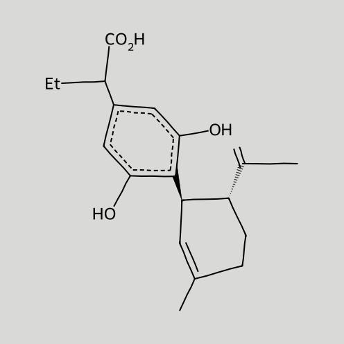 C=C(C)[C@@H]1CCC(C)=C[C@H]1c1c(O)cc(C(CC)C(=O)O)cc1O